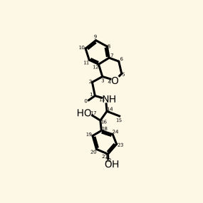 CC(CC1OCCc2ccccc21)NC(C)C(O)c1ccc(O)cc1